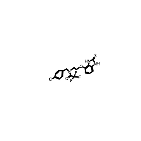 O=C(N(CCOc1cccc2[nH]c(=S)[nH]c12)Cc1ccc(Cl)cc1)C(F)(F)F